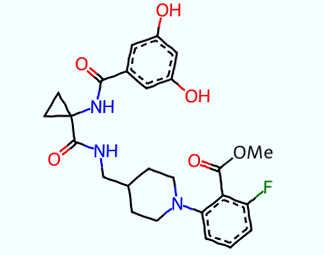 COC(=O)c1c(F)cccc1N1CCC(CNC(=O)C2(NC(=O)c3cc(O)cc(O)c3)CC2)CC1